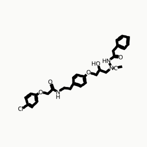 CCN(CC(O)COc1ccc(CCNC(=O)COc2ccc(Cl)cc2)cc1)NC(=O)Cc1ccccc1